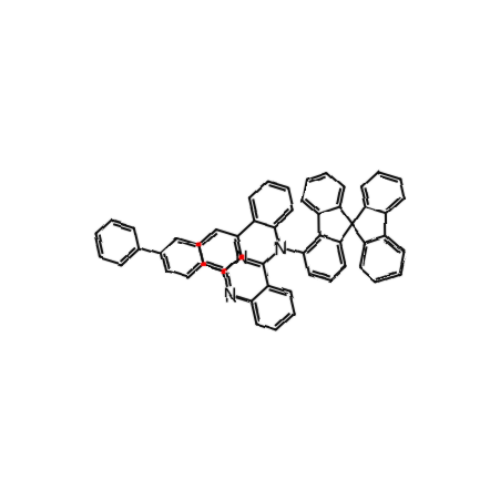 c1ccc(-c2ccc(-c3nc(N(c4ccccc4-c4ccccc4)c4cccc5c4-c4ccccc4C54c5ccccc5-c5ccccc54)c4ccccc4n3)cc2)cc1